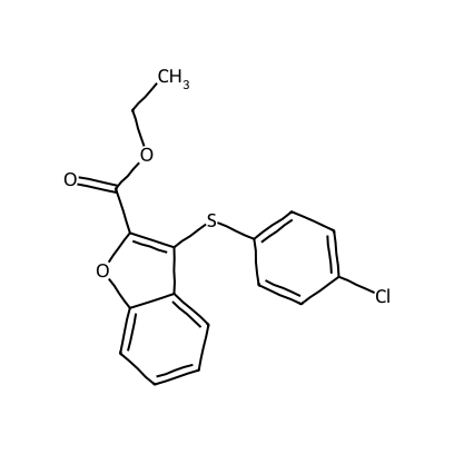 CCOC(=O)c1oc2ccccc2c1Sc1ccc(Cl)cc1